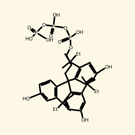 CCC(C)(C)c1cc(O)ccc1C(CCCOP(=O)(O)OP(=O)(O)OP(=O)(O)O)(c1ccc(O)cc1C(C)(C)CC)c1ccc(O)cc1C(C)(C)CC